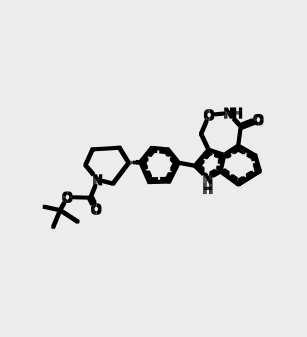 CC(C)(C)OC(=O)N1CCC[C@H](c2ccc(-c3[nH]c4cccc5c4c3CONC5=O)cc2)C1